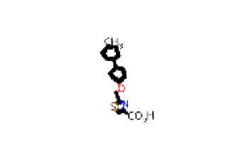 Cc1ccc(-c2ccc(OCc3nc(C(=O)O)cs3)cc2)cc1